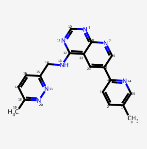 Cc1ccc(-c2cnc3ncnc(NCc4ccc(C)nn4)c3c2)nc1